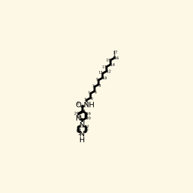 O=C(NCCCCCCCCCCCCCCI)c1ccc(N2CCNCC2)nc1